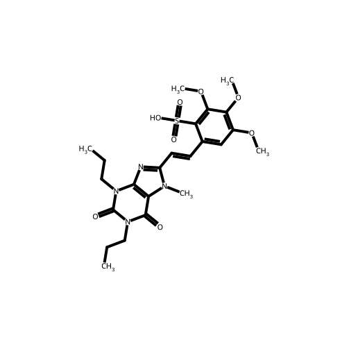 CCCn1c(=O)c2c(nc(/C=C/c3cc(OC)c(OC)c(OC)c3S(=O)(=O)O)n2C)n(CCC)c1=O